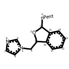 CCCCCC1OC(Cn2ccnc2)c2ccccc21